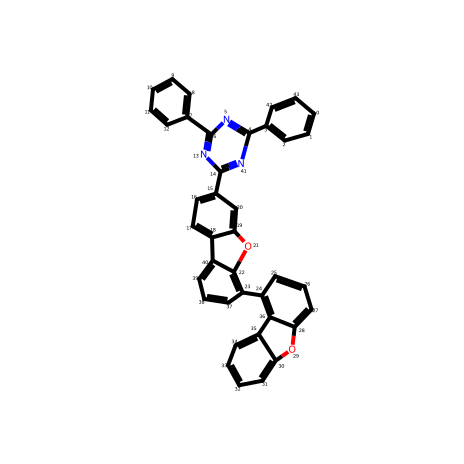 c1ccc(-c2nc(-c3ccccc3)nc(-c3ccc4c(c3)oc3c(-c5cccc6oc7ccccc7c56)cccc34)n2)cc1